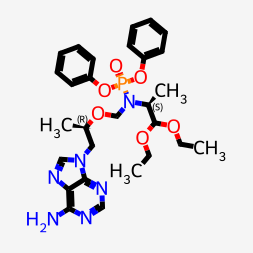 CCOC(OCC)[C@H](C)N(CO[C@H](C)Cn1cnc2c(N)ncnc21)P(=O)(Oc1ccccc1)Oc1ccccc1